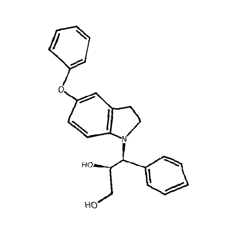 OC[C@@H](O)[C@H](c1ccccc1)N1CCc2cc(Oc3ccccc3)ccc21